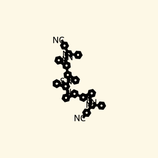 N#Cc1ccc(-c2cc(-c3ccccc3)nc(-n3c4ccccc4c4cc(-c5ccc6c(c5)c5ccccc5n6-c5cc(-n6c7ccccc7c7cc(-c8ccc9c(c8)c8ccccc8n9-c8nc(-c9ccccc9)cc(-c9ccc(C#N)cc9)n8)ccc76)c6sc7ccccc7c6c5)ccc43)n2)cc1